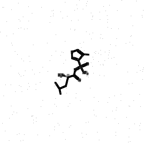 Cc1cscc1S(N)(=O)=NC(=O)[C@@H](N)CC(C)C